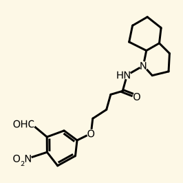 O=Cc1cc(OCCCC(=O)NN2CCCC3CCCCC32)ccc1[N+](=O)[O-]